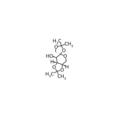 CC1(C)O[C@H]2[C@H](CO[C@@]3(COC(C)(C)O3)[C@@H]2O)O1